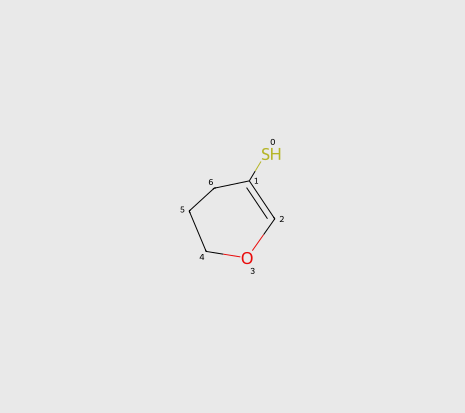 SC1=COCCC1